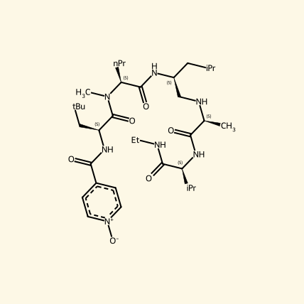 CCC[C@@H](C(=O)N[C@H](CN[C@@H](C)C(=O)N[C@H](C(=O)NCC)C(C)C)CC(C)C)N(C)C(=O)[C@H](CC(C)(C)C)NC(=O)c1cc[n+]([O-])cc1